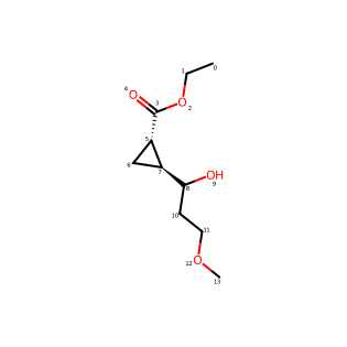 CCOC(=O)[C@H]1C[C@@H]1C(O)CCOC